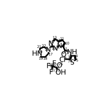 O=C(Nc1ccsc1Cl)c1ccc2cnc(N3CCCNCC3)nn12.O=C(O)C(F)(F)F